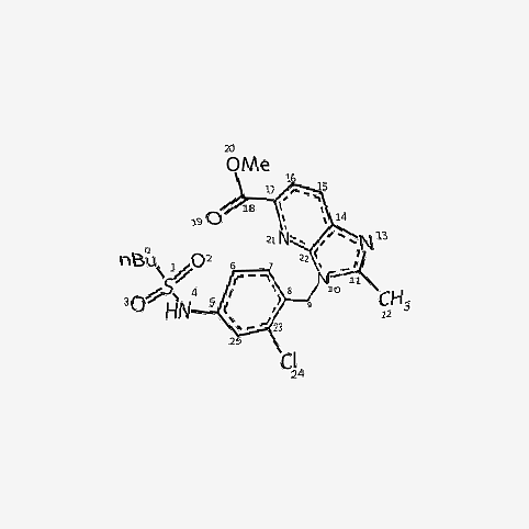 CCCCS(=O)(=O)Nc1ccc(Cn2c(C)nc3ccc(C(=O)OC)nc32)c(Cl)c1